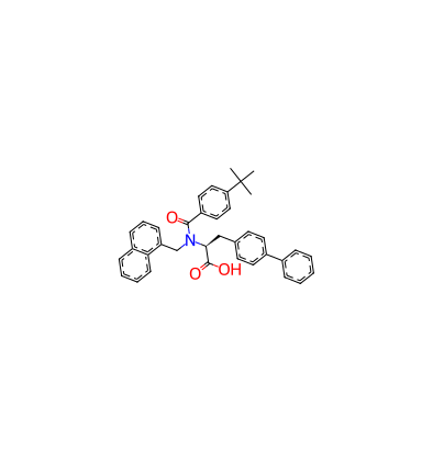 CC(C)(C)c1ccc(C(=O)N(Cc2cccc3ccccc23)[C@@H](Cc2ccc(-c3ccccc3)cc2)C(=O)O)cc1